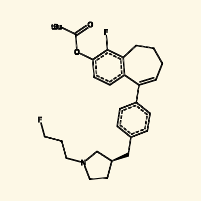 CC(C)(C)C(=O)Oc1ccc2c(c1F)CCCC=C2c1ccc(C[C@H]2CCN(CCCF)C2)cc1